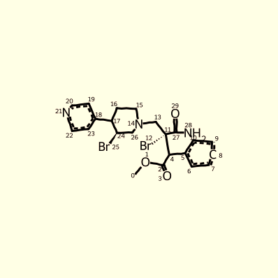 COC(=O)C(c1ccccc1)[C@@](Br)(CN1CCC(c2ccncc2)[C@H](Br)C1)C(N)=O